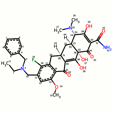 CCN(Cc1ccccc1)Cc1cc(OC)c2c(c1F)C[C@H]1C[C@H]3[C@H](N(C)C)C(O)=C(C(N)=O)C(=O)[C@@]3(O)C(O)=C1C2=O